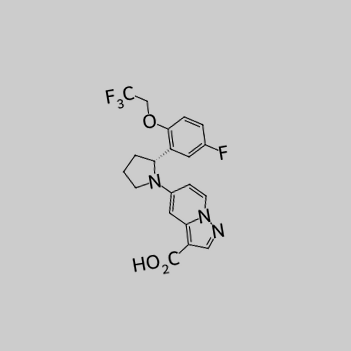 O=C(O)c1cnn2ccc(N3CCC[C@@H]3c3cc(F)ccc3OCC(F)(F)F)cc12